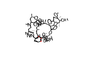 CC[C@H]1OC(=O)[C@H](C)[C@@H](O[C@H]2C[C@@](C)(OC)[C@@H](O)[C@H](C)O2)[C@H](C)[C@@H](O[C@@H]2O[C@H](C)C[C@H](N(C)CCc3cn(-c4cccc([N+](=O)[O-])c4)nn3)[C@H]2O)[C@](C)(O)C[C@@H](C)CN(C)[C@H](C)[C@@H](O)[C@]1(C)O